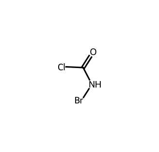 O=C(Cl)NBr